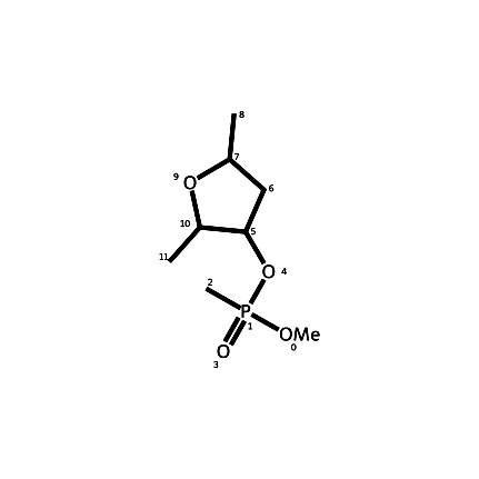 COP(C)(=O)OC1CC(C)OC1C